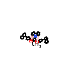 Cc1c2c3c4c5c1Oc1ccc(-c6cccc7ccccc67)cc1B5c1cccc5c6cccc(c6n-4c15)B3c1cc(-c3cccc4ccccc34)ccc1O2